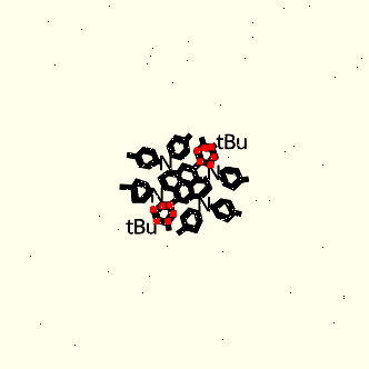 Cc1ccc(N(c2ccc(C)cc2)c2cc(N(c3ccc(C)cc3)c3ccc(C)cc3)c3c(-c4ccc(C(C)(C)C)cc4)cc4c(N(c5ccc(C)cc5)c5ccc(C)cc5)cc(N(c5ccc(C)cc5)c5ccc(C)cc5)c5c(-c6ccc(C(C)(C)C)cc6)cc2c3c45)cc1